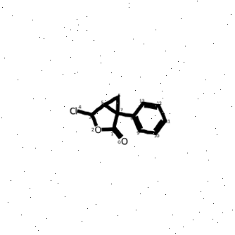 O=C1OC(Cl)C2CC12c1ccccc1